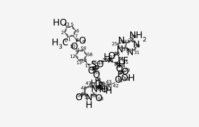 Cc1cc(O)ccc1C(=O)Oc1ccc(CS[P@]2(=O)OC[C@H]3O[C@@H](n4cnc5c(N)ncnc54)[C@H](F)[C@@H]3OP(=O)(O)OC[C@H]3O[C@@H](n4ccc(=O)[nH]c4=O)[C@H](O2)[C@@H]3F)cc1